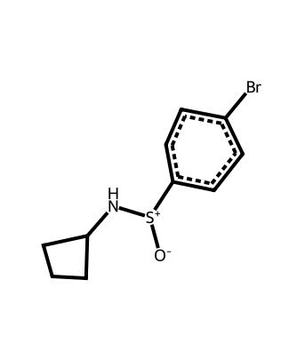 [O-][S+](NC1CCC1)c1ccc(Br)cc1